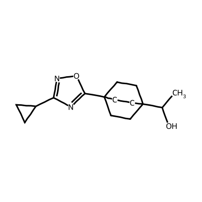 CC(O)C12CCC(c3nc(C4CC4)no3)(CC1)CC2